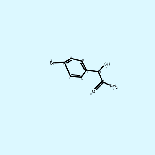 NC(=O)C(O)c1ccc(Br)cc1